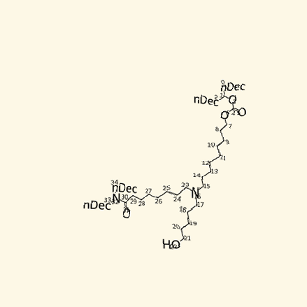 CCCCCCCCCCC(CCCCCCCCCC)OC(=O)OCCCCCCCCCN(CCCCCO)CCCCCCCC(=O)N(CCCCCCCCCC)CCCCCCCCCC